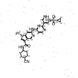 CC(C)n1cc(C(=O)NC2CCC(C#N)CC2)c2cnc(Nc3ccnc(/C(C=N)=C/NS(=O)(=O)C4CC4)n3)cc21